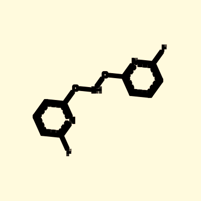 Fc1cccc(OBOc2cccc(F)n2)n1